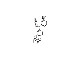 FC1(F)Oc2ccc(C(N=C=S)c3cccc(Br)c3)cc2O1